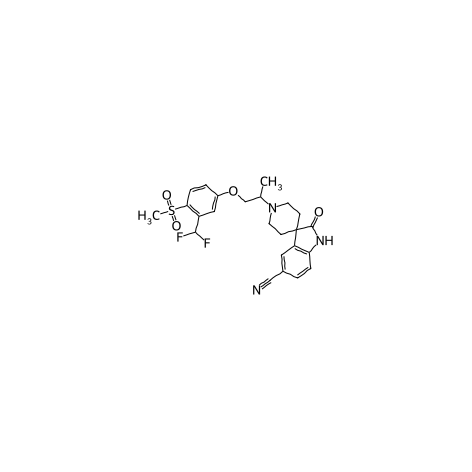 CC(COc1ccc(S(C)(=O)=O)c(C(F)F)c1)N1CCC2(CC1)C(=O)Nc1ccc(C#N)cc12